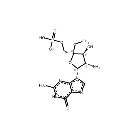 CO[C@]1(COP(=O)(O)O)O[C@@H](n2cnc3c(=O)[nH]c(C)nc32)[C@@H](N)[C@@H]1O